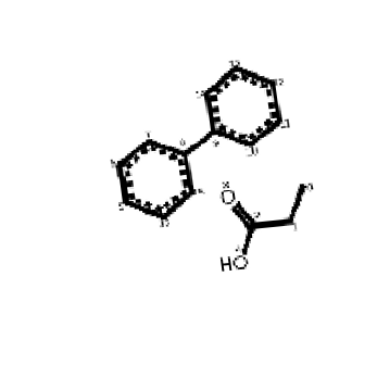 CCC(=O)O.c1ccc(-c2ccccc2)cc1